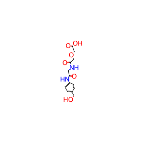 O=C(O)COCC(=O)NCC(=O)Nc1ccc(CO)cc1